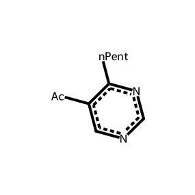 CCCCCc1ncncc1C(C)=O